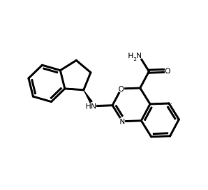 NC(=O)C1OC(N[C@@H]2CCc3ccccc32)=Nc2ccc[c]c21